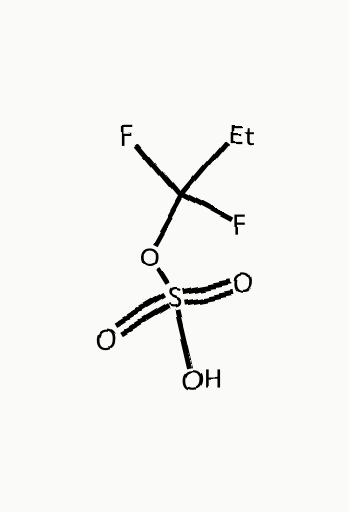 CCC(F)(F)OS(=O)(=O)O